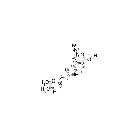 COC(=O)c1ccc(NC(=O)CCC(=O)OC(C)(C)C)cc1CN=[N+]=[N-]